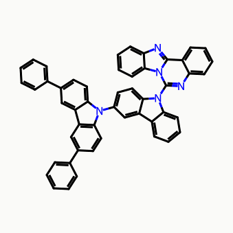 c1ccc(-c2ccc3c(c2)c2cc(-c4ccccc4)ccc2n3-c2ccc3c(c2)c2ccccc2n3-c2nc3ccccc3c3nc4ccccc4n23)cc1